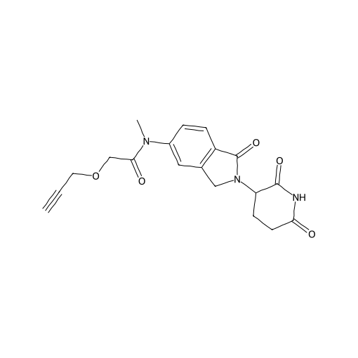 C#CCOCC(=O)N(C)c1ccc2c(c1)CN(C1CCC(=O)NC1=O)C2=O